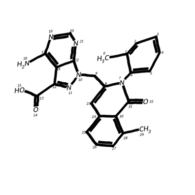 Cc1ccccc1-n1c(Cn2nc(C(=O)O)c3c(N)ncnc32)cc2cccc(C)c2c1=O